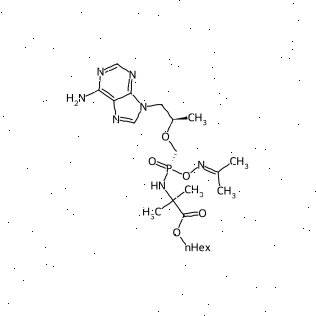 CCCCCCOC(=O)C(C)(C)N[P@](=O)(CO[C@H](C)Cn1cnc2c(N)ncnc21)ON=C(C)C